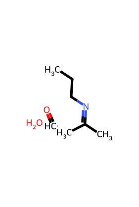 CCCN=C(C)C.O.[CH]=O